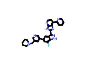 Fc1cc(-c2cncc(CN3CCCCC3)c2)cc2c(-c3nc4c(-c5ccccn5)ccnc4[nH]3)n[nH]c12